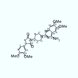 COc1ccc(C2CC(=O)N(C3CCN(c4nc(N)c5cc(OC)c(OC)cc5n4)CC3)C2=O)cc1OC